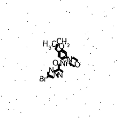 CC1(C)Cc2cc(NC(=O)c3cnn4cc(Br)cnc34)c(N3CCOCC3)cc2O1